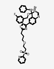 O=S(=O)(CCOCCCc1nc(-c2ccc3c(c2)C(Nc2ccccc2)(OCc2cccc(F)c2)N(Br)C=N3)cs1)c1ccccn1